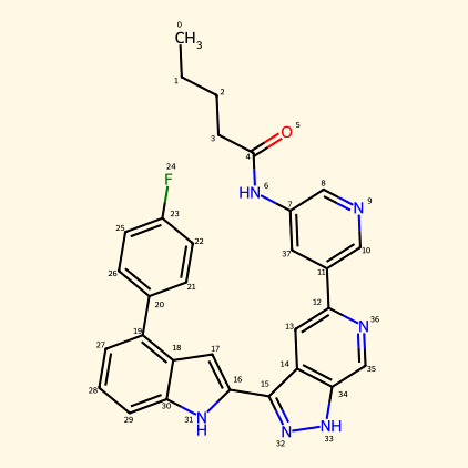 CCCCC(=O)Nc1cncc(-c2cc3c(-c4cc5c(-c6ccc(F)cc6)cccc5[nH]4)n[nH]c3cn2)c1